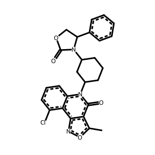 Cc1onc2c1c(=O)n(C1CCCC(N3C(=O)OCC3c3ccccc3)C1)c1cccc(Cl)c21